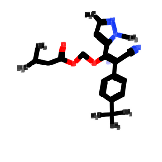 Cc1cc(/C(OCOC(=O)CC(C)C)=C(\C#N)c2ccc(C(C)(C)C)cc2)n(C)n1